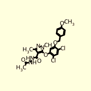 COc1ccc(COc2cc(Oc3c(C(=O)NNC(C)=O)c(C)nn3C)c(Cl)cc2Cl)cc1